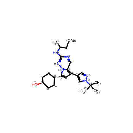 COCC(C)Nc1ncc2c(-c3cnn(C(C)(C)C(=O)O)c3)cc([C@H]3CC[C@H](O)CC3)n2n1